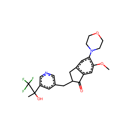 COc1cc2c(cc1N1CCOCC1)CC(Cc1cncc(C(C)(O)C(F)(F)F)c1)C2=O